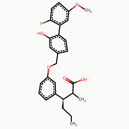 CCC[C@@H](c1cccc(OCc2ccc(-c3cc(OC)ccc3F)c(O)c2)c1)C(C)C(=O)O